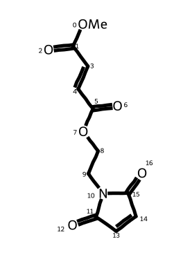 COC(=O)/C=C/C(=O)OCCN1C(=O)C=CC1=O